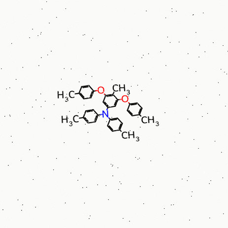 Cc1ccc(Oc2cc(N(c3ccc(C)cc3)c3ccc(C)cc3)cc(Oc3ccc(C)cc3)c2C)cc1